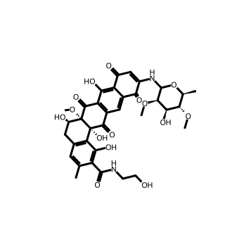 CO[C@@H]1[C@@H](O)[C@@H](OC)C(NC2=CC(=O)c3c(cc4c(c3O)C(=O)[C@]3(OC)[C@H](O)Cc5cc(C)c(C(=O)NCCO)c(O)c5[C@]3(O)C4=O)C2=O)O[C@H]1C